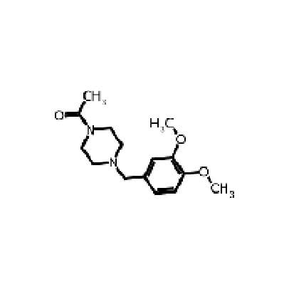 COc1ccc(CN2CCN(C(C)=O)CC2)cc1OC